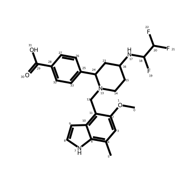 COc1cc(C)c2[nH]ccc2c1CN1CCC(NC(F)C(F)F)CC1c1ccc(C(=O)O)cc1